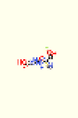 CC[C@@H]1CCCN1Cc1sc(NC(=O)c2cnc(N3CCC(C(=O)O)CC3)cn2)nc1-c1ccc(OC)c(OCF)c1